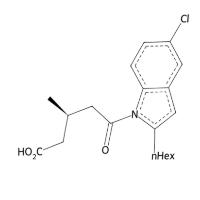 CCCCCCc1cc2cc(Cl)ccc2n1C(=O)C[C@H](C)CC(=O)O